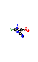 Cn1ccnc1-c1ccc(NC(=C2C(=O)Nc3cc(Br)ccc32)c2ccc(CCC(=O)O)cc2)cc1